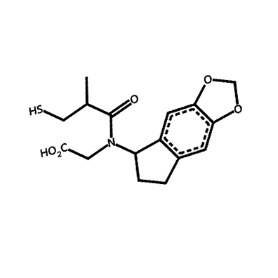 CC(CS)C(=O)N(CC(=O)O)C1CCc2cc3c(cc21)OCO3